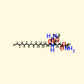 CCCCCCCCCCCCCCCC(=O)N[C@@H](CCC(=O)OC(C)N)C(=O)OC(C)N